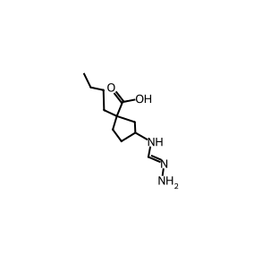 CCCCC1(C(=O)O)CCC(NC=NN)C1